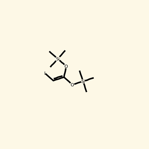 C[Si](C)(C)OC(=CI)O[Si](C)(C)C